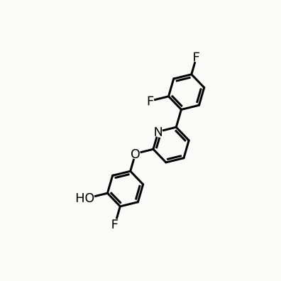 Oc1cc(Oc2cccc(-c3ccc(F)cc3F)n2)ccc1F